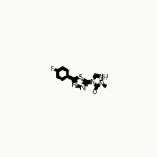 CN1NCN(c2nnc(C3CCC(F)CC3)s2)C1=O